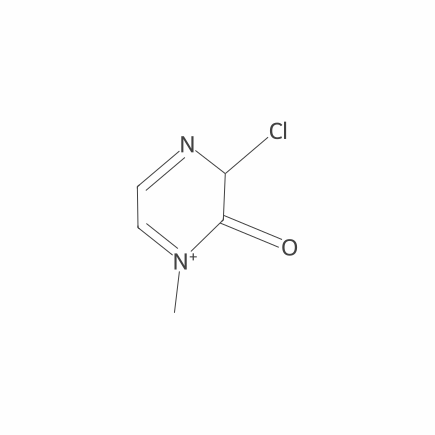 C[N+]1=CC=NC(Cl)C1=O